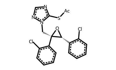 CC(=O)Sc1ncnn1C[C@]1(c2ccccc2Cl)O[C@@H]1c1ccccc1Cl